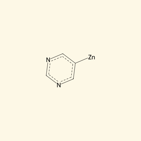 [Zn][c]1cncnc1